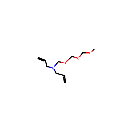 C=CCN(CC=C)COCOCOC